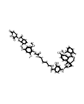 COc1cc(/N=N\c2cccc3c2CN(C2CCC(=O)NC2=O)C3=O)cc(OC)c1OCC(=O)NCCCCNC(=O)c1ccc(Nc2ncc3c(n2)-c2ccc(Cl)cc2C(c2c(F)cccc2OC)=NC3)cc1O